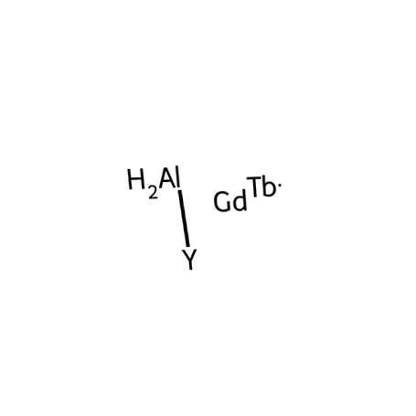 [AlH2][Y].[Gd].[Tb]